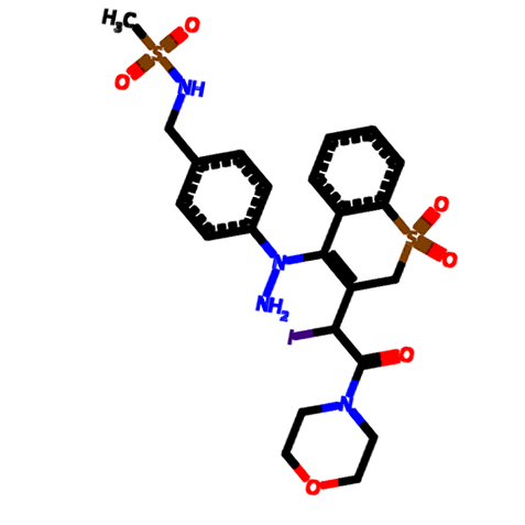 CS(=O)(=O)NCc1ccc(N(N)C2=C(C(I)C(=O)N3CCOCC3)CS(=O)(=O)c3ccccc32)cc1